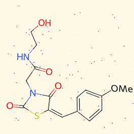 COc1ccc(/C=C2/SC(=O)N(CC(=O)NCCO)C2=O)cc1